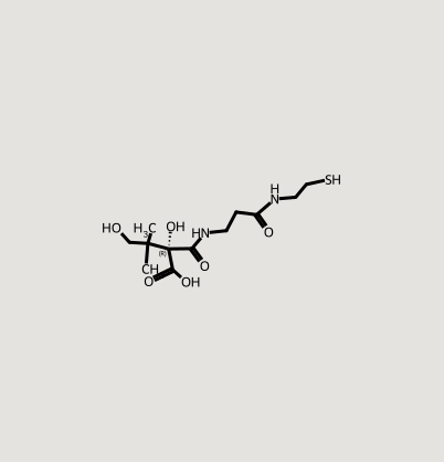 CC(C)(CO)[C@](O)(C(=O)O)C(=O)NCCC(=O)NCCS